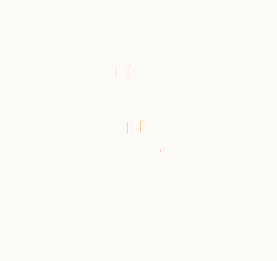 BCPOC